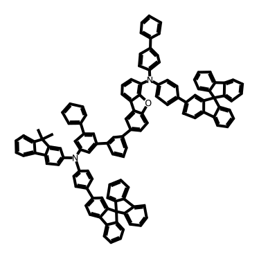 CC1(C)c2ccccc2-c2ccc(N(c3ccc(-c4ccc5c(c4)C4(c6ccccc6-c6ccccc64)c4ccccc4-5)cc3)c3cc(-c4ccccc4)cc(-c4cccc(-c5ccc6oc7c(N(c8ccc(-c9ccccc9)cc8)c8ccc(-c9ccc%10c(c9)C9(c%11ccccc%11-c%11ccccc%119)c9ccccc9-%10)cc8)cccc7c6c5)c4)c3)cc21